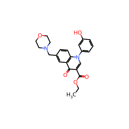 CCOC(=O)c1cn(-c2cccc(O)c2)c2ccc(CN3CCOCC3)cc2c1=O